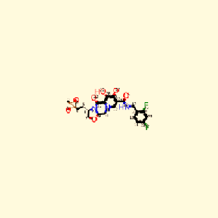 CS(=O)(=O)CC[C@H]1COC2Cn3cc(C(=O)NCc4ccc(F)cc4F)c(=O)c(O)c3C(=O)N21